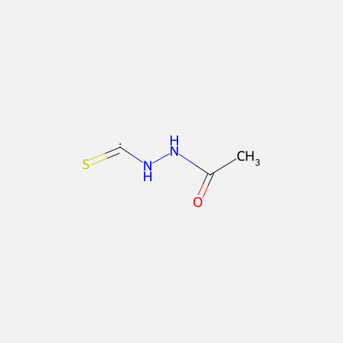 CC(=O)NN[C]=S